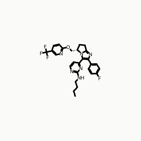 CCCCNc1nccc(-c2c(-c3ccc(F)cc3)nc3n2[C@H](COc2ccc(C(F)(F)F)cn2)CC3)n1